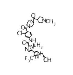 C#CCn1cc(-c2cnc(C(=O)Nc3ccc(C(=O)N4CCN(C(=O)C5CCN(C)CC5)CC4)c(Cl)c3)n2C)c(C(F)(F)F)n1